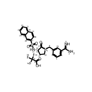 N=C(N)c1cccc(CN2CC[C@H](NS(=O)(=O)c3ccc4ccccc4c3)C2=O)c1.O=C(O)C(F)(F)F